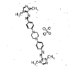 Cn1nc[n+](C)c1/N=N/c1ccc(N2CCN(c3ccc(/N=N/c4n(C)nc[n+]4C)cc3)CC2)cc1.O=S(=O)([O-])[O-]